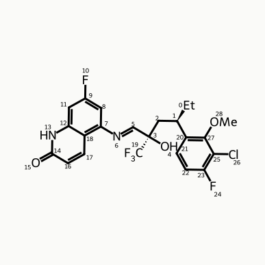 CC[C@H](C[C@@](O)(C=Nc1cc(F)cc2[nH]c(=O)ccc12)C(F)(F)F)c1ccc(F)c(Cl)c1OC